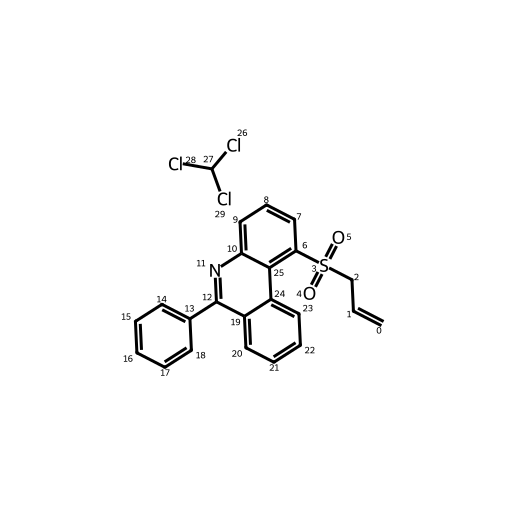 C=CCS(=O)(=O)c1cccc2nc(-c3ccccc3)c3ccccc3c12.ClC(Cl)Cl